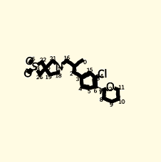 CC(Cc1ccc([C@H]2CCCCO2)c(Cl)c1)CN1CCC2(C1)CS(=O)(=O)C2